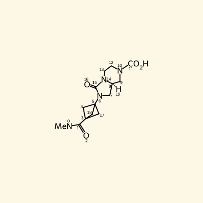 CNC(=O)C12CC(N3C[C@@H]4CN(C(=O)O)CCN4C3=O)(C1)C2